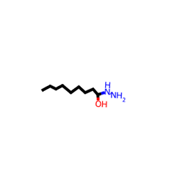 CCCCCCCCC(O)NN